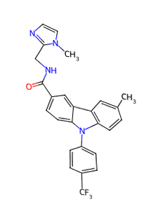 Cc1ccc2c(c1)c1cc(C(=O)NCc3nccn3C)ccc1n2-c1ccc(C(F)(F)F)cc1